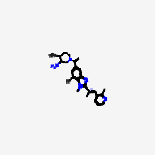 C=C(c1cc(CC)c2c(c1)nc(/C(C)=C/c1cccnc1C)n2C)N1CCC(CCC)C(N)C1